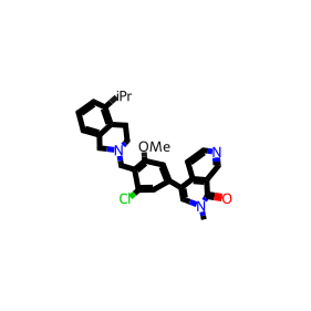 COc1cc(-c2cn(C)c(=O)c3cnccc23)cc(Cl)c1CN1CCc2c(cccc2C(C)C)C1